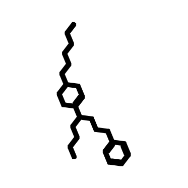 CCCCCCC1CC=C(C(CCCC)CCCc2ccccc2)CC1